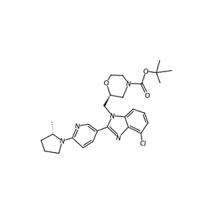 C[C@H]1CCCN1c1ccc(-c2nc3c(Cl)cccc3n2C[C@@H]2CN(C(=O)OC(C)(C)C)CCO2)cn1